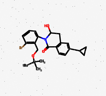 CC(C)(C)[Si](C)(C)OCc1c(Br)cccc1N1C(=O)c2ccc(C3CC3)cc2CC1O